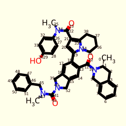 C[C@@H]1Cc2ccccc2CN1C(=O)c1cc2c(cc1-c1cc(C(=O)N(C)c3ccc(O)cc3)c3n1CCCC3)CN(C(=O)N(C)Cc1ccccc1)C2